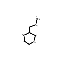 CC(C)(C)OCC1COCCO1